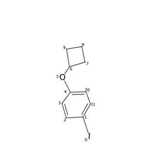 Ic1ccc(OC2CCC2)cc1